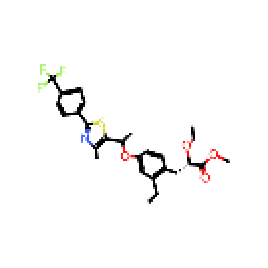 CCO[C@@H](Cc1ccc(OC(C)c2sc(-c3ccc(C(F)(F)F)cc3)nc2C)cc1CC)C(=O)OC